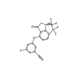 N#Cc1cc(F)cc(Oc2ccc3c4c2C(=O)CC4(N)C(F)(F)C3(F)F)c1